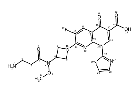 CON(C(=O)CCN)C1CN(c2nc3c(cc2F)c(=O)c(C(=O)O)cn3-c2nccs2)C1